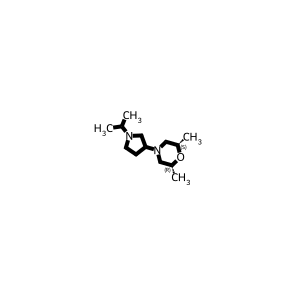 CC(C)N1CCC(N2C[C@@H](C)O[C@@H](C)C2)C1